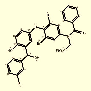 CCOC(=O)CN(C(=O)c1ccccc1)c1cc(Br)c(Oc2ccc(O)c(C(O)c3cccc(F)c3)c2)c(Br)c1